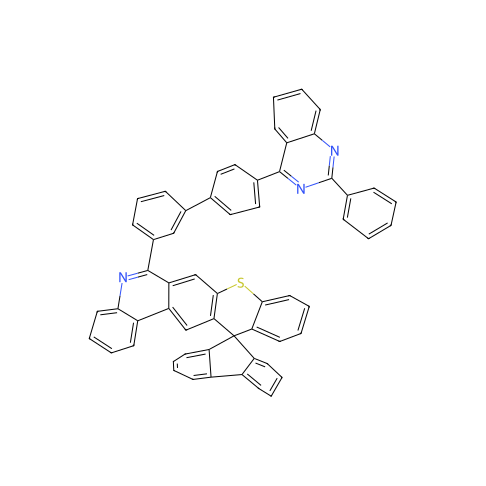 c1ccc(-c2nc(-c3ccc(-c4cccc(-c5nc6ccccc6c6cc7c(cc56)Sc5ccccc5C75c6ccccc6-c6ccccc65)c4)cc3)c3ccccc3n2)cc1